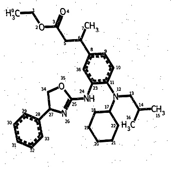 CCOC(=O)CC(C)c1ccc(N(CC(C)C)C2CCCCC2)c(NC2=NC(c3ccccc3)CO2)c1